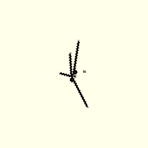 CCCCCCC/C=C/C1=C(c2cccc(/C=C/CCCCCCCCCCCCCCCCCCCCC)c2)[N+](=[N-])C(c2cccc(/C=C/CCCCCCCCCCCCCCCCCCCCC)c2)=C1CCCCCCCCCCCCCCCC.[Ni]